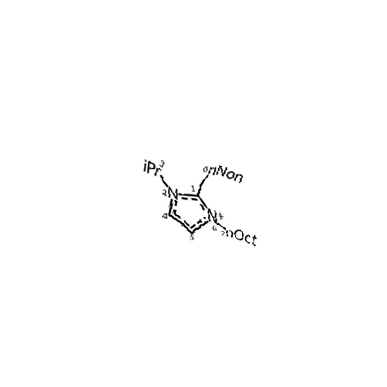 CCCCCCCCCc1n(C(C)C)cc[n+]1CCCCCCCC